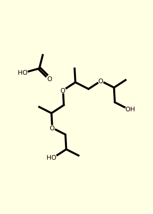 CC(=O)O.CC(O)COC(C)COC(C)COC(C)CO